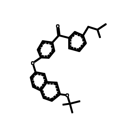 CC(C)Cc1cccc(C(=O)c2ccc(Oc3ccc4ccc(OC(C)(C)C)cc4c3)cc2)c1